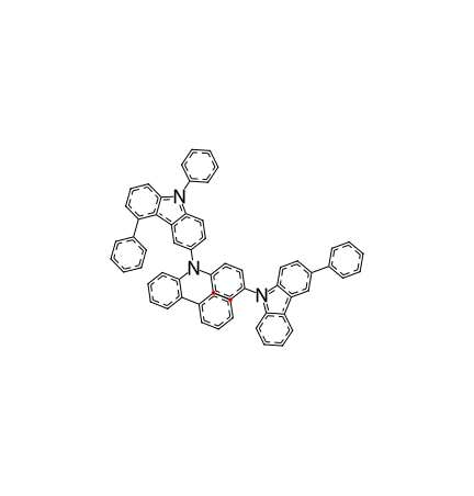 c1ccc(-c2ccc3c(c2)c2ccccc2n3-c2ccc(N(c3ccc4c(c3)c3c(-c5ccccc5)cccc3n4-c3ccccc3)c3ccccc3-c3ccccc3)cc2)cc1